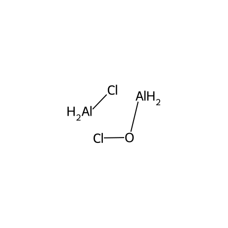 [AlH2][Cl].[AlH2][O]Cl